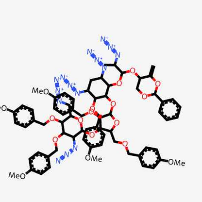 C=C1OC(c2ccccc2)OCC1OC(OC1C(N=[N+]=[N-])CC(N=[N+]=[N-])C(OCc2ccc(OC)cc2)C1OC1OC(COCc2ccc(OC)cc2)C(OC2OC(CN=[N+]=[N-])C(OCc3ccc(OC)cc3)C(OCc3ccc(OC)cc3)C2N=[N+]=[N-])C1OCc1ccc(OC)cc1)C(C)N=[N+]=[N-]